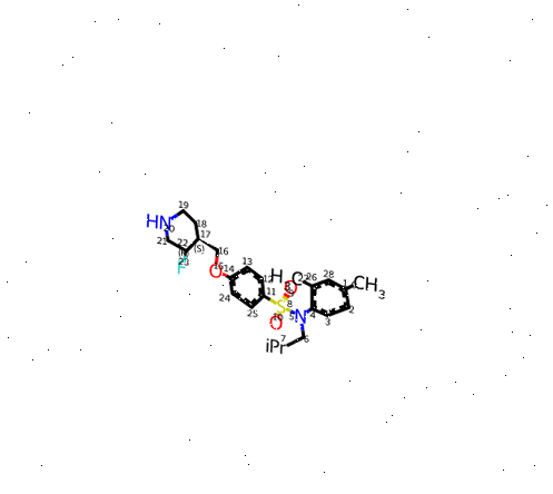 Cc1ccc(N(CC(C)C)S(=O)(=O)c2ccc(OC[C@@H]3CCNC[C@@H]3F)cc2)c(C)c1